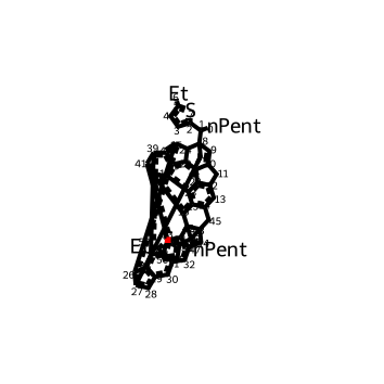 CCCCCC(c1ccc(CC)s1)C12C=C3Cc4cc5c6c7c8c9c%10c(c3c4c69)C1c1c3c(cc4cc6cc9c(c%11c6c(c43)c(c1%10)c%118)C71C(C=9)(C5)C1(CCCCC)c1ccc(CC)s1)C2